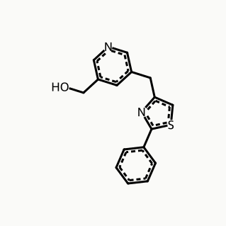 OCc1cncc(Cc2csc(-c3ccccc3)n2)c1